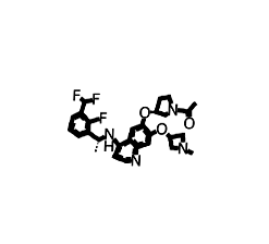 CC(=O)N1CC[C@H](Oc2cc3c(N[C@H](C)c4cccc(C(F)F)c4F)ccnc3cc2OC2CN(C)C2)C1